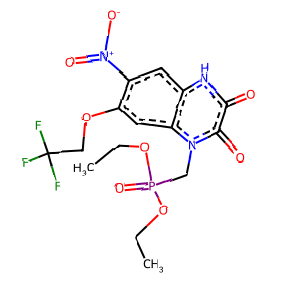 CCOP(=O)(Cn1c(=O)c(=O)[nH]c2cc([N+](=O)[O-])c(OCC(F)(F)F)cc21)OCC